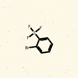 FS(F)(F)c1ccccc1Br